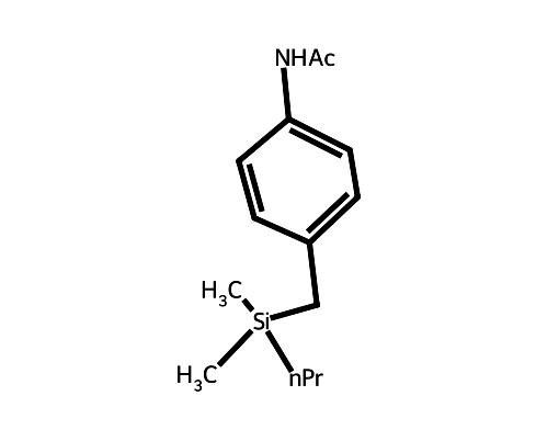 CCC[Si](C)(C)Cc1ccc(NC(C)=O)cc1